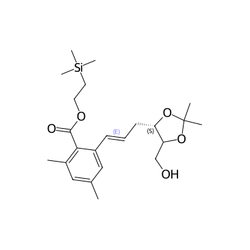 Cc1cc(C)c(C(=O)OCC[Si](C)(C)C)c(/C=C/C[C@@H]2OC(C)(C)OC2CO)c1